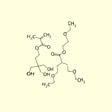 C=C(C)C(=O)OCCC(CO)(CO)CO.CCOCCOC(=O)C(CCOCC)CCOCC